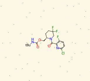 CC(C)(C)NC(=O)OC[C@H]1CCC(F)(F)CN1C(=O)c1nc(Cl)ccc1F